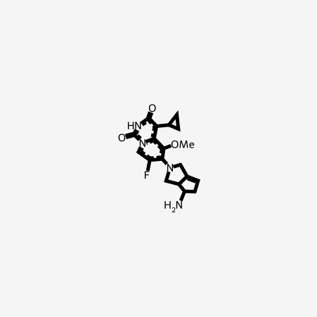 COc1c(N2CC3=CCC(N)C3C2)c(F)cn2c(=O)[nH]c(=O)c(C3CC3)c12